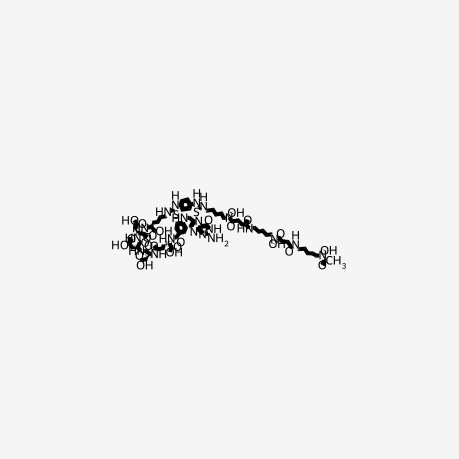 CC(=O)N(O)CCCCCNC(=O)CCC(=O)N(O)CCCCCNC(=O)CCC(=O)N(O)CCCCCNC(=S)Nc1ccc(NC(=S)NCCCC[C@H](NC(=O)[C@H](CC(=O)O)NC(=O)[C@H](CC(=O)O)NC(=O)[C@H](CC(=O)O)NC(=O)CC[C@H](NC(=O)c2ccc(NCc3cnc4nc(N)[nH]c(=O)c4n3)cc2)C(=O)O)C(=O)O)cc1